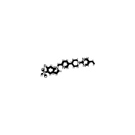 CCc1cnc(N2CCC(c3ccc(Cn4ccc5cc(S(C)(=O)=O)c(F)cc54)nc3)CC2)nc1